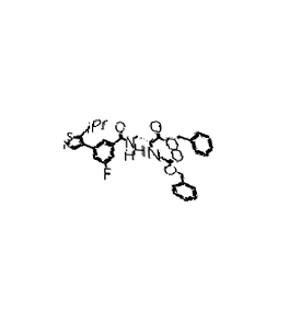 CC(C)c1sncc1-c1cc(F)cc(C(=O)NC[C@@H](NC(=O)OCc2ccccc2)C(=O)OCc2ccccc2)c1